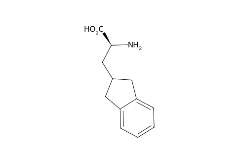 N[C@@H](CC1Cc2ccccc2C1)C(=O)O